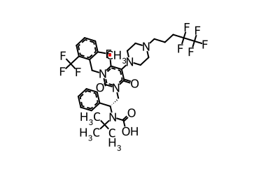 Cc1c(N2CCN(CCCC(F)(F)C(F)(F)F)CC2)c(=O)n(C[C@@H](c2ccccc2)N(C(=O)O)C(C)(C)C)c(=O)n1Cc1c(F)cccc1C(F)(F)F